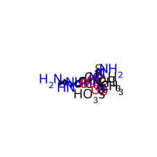 CC(ON=C(C(=O)NC1C(=O)N(OS(=O)(=O)O)C1(C)C)c1csc(N)n1)(C(=O)O)[C@H]1CCc2cc(C(=N)NC3CC4(C3)C[C@@H]4N)ccc2O1